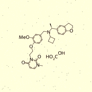 COc1cc(CN(C2CCC2)[C@@H](C)c2ccc3c(c2)CCO3)ccc1OCCn1c(=O)ccn(C)c1=O.O=C(O)O